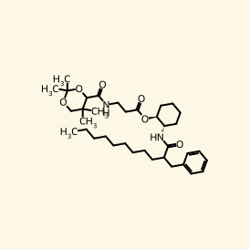 CCCCCCCCCC(Cc1ccccc1)C(=O)N[C@H]1CCCC[C@@H]1OC(=O)CCNC(=O)C1OC(C)(C)OCC1(C)C